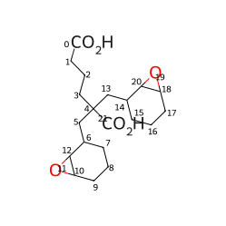 O=C(O)CCCC(CC1CCCC2OC12)(CC1CCCC2OC12)C(=O)O